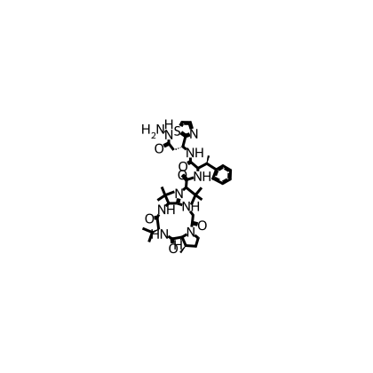 CC(C)[C@@H]1NC(=O)[C@@H]2[C@H](C)CCN2C(=O)CN/C(=N\C(C(=O)NC(C(=O)N[C@H](CC(=O)NN)c2nccs2)[C@@H](C)c2ccccc2)C(C)(C)C)C(C(C)(C)C)NC1=O